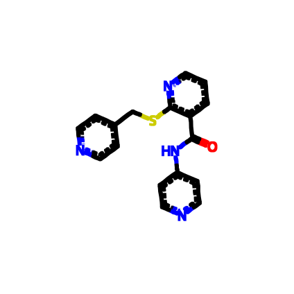 O=C(Nc1ccncc1)c1cccnc1SCc1ccncc1